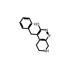 Oc1nnc2c(c1Cc1ccccc1)CCNC2